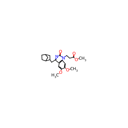 COC(=O)CCn1c(=O)nc(CC2CC3CCC2C3)c2cc(OC)c(OC)cc21